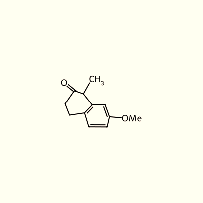 COc1ccc2c(c1)C(C)C(=O)CC2